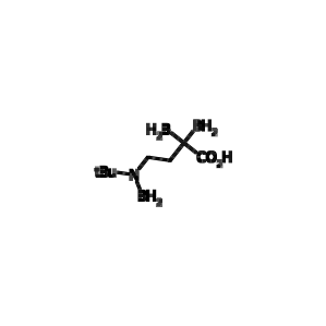 BN(CCC(B)(B)C(=O)O)C(C)(C)C